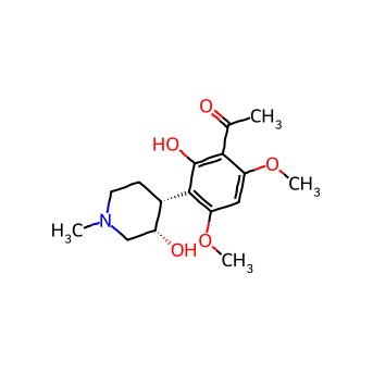 COc1cc(OC)c([C@H]2CCN(C)C[C@H]2O)c(O)c1C(C)=O